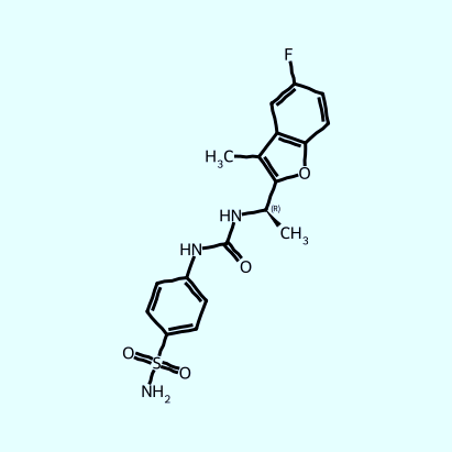 Cc1c([C@@H](C)NC(=O)Nc2ccc(S(N)(=O)=O)cc2)oc2ccc(F)cc12